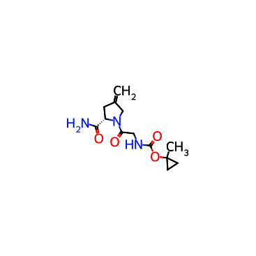 C=C1C[C@@H](C(N)=O)N(C(=O)CNC(=O)OC2(C)CC2)C1